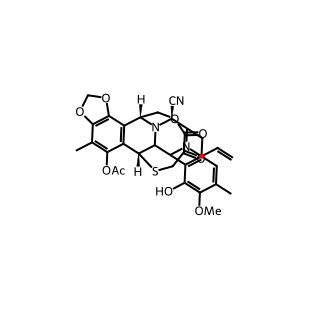 C=CCN1C2c3c(cc(C)c(OC)c3O)CC1[C@H](C#N)N1C2[C@@H]2SCC(=O)C(=O)OC[C@H]1c1c3c(c(C)c(OC(C)=O)c12)OCO3